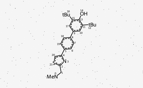 CNCc1nc(-c2ccc(-c3cc(C(C)(C)C)c(O)c(C(C)(C)C)c3)cc2)cs1